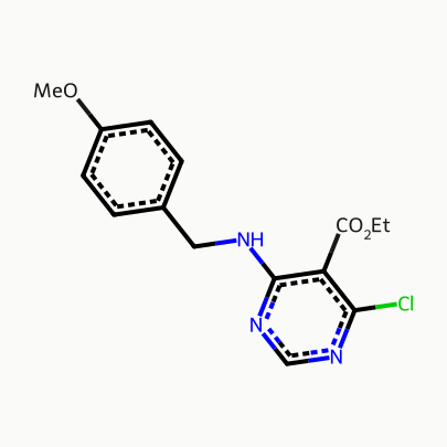 CCOC(=O)c1c(Cl)ncnc1NCc1ccc(OC)cc1